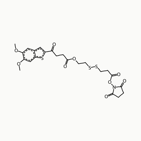 COc1cc2cc(C(=O)CCC(=O)OCCSSCCC(=O)ON3C(=O)CCC3=O)sc2cc1OC